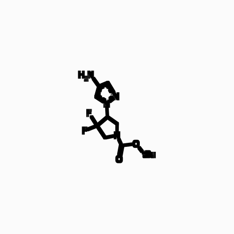 CC(C)(C)OC(=O)N1CC(n2cc(N)cn2)C(F)(F)C1